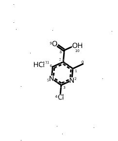 Cc1nc(Cl)ncc1C(=O)O.Cl